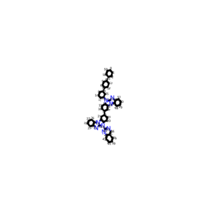 c1ccc(-c2ccc(-c3cccc(-n4c5ccc(-c6ccc7c(c6)n6c8ccccc8nc6n7-c6ncc7ccccc7n6)cc5n5c6ccccc6nc45)c3)cc2)cc1